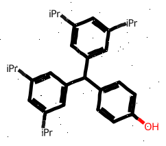 CC(C)c1cc(C(C)C)cc(C(c2ccc(O)cc2)c2cc(C(C)C)cc(C(C)C)c2)c1